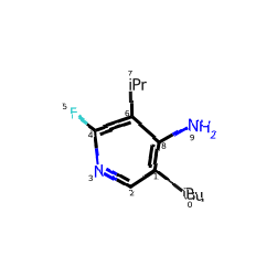 CCC(C)c1cnc(F)c(C(C)C)c1N